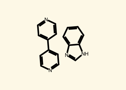 c1cc(-c2ccncc2)ccn1.c1ccc2[nH]cnc2c1